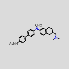 CC(=O)Nc1ccc(-c2ccc(N(C=O)c3ccc4c(c3)CCC(CN(C)C)C4)cc2)cc1